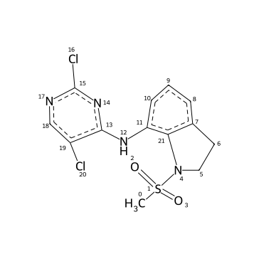 CS(=O)(=O)N1CCc2cccc(Nc3nc(Cl)ncc3Cl)c21